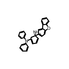 NC1(c2ccc3oc4ccccc4c3c2)C=CC=C(N(c2ccccc2)c2ccccc2)C1